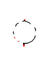 O=C1CCCCCCCC(=O)COCCCCC1